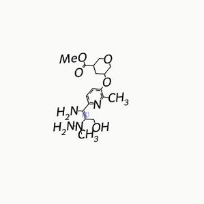 COC(=O)C1COCC(Oc2ccc(/C(N)=C(\CO)N(C)N)nc2C)C1